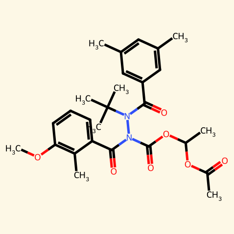 COc1cccc(C(=O)N(C(=O)OC(C)OC(C)=O)N(C(=O)c2cc(C)cc(C)c2)C(C)(C)C)c1C